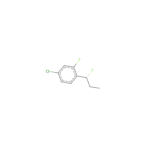 [CH2]C[C@@H](F)c1ccc(Cl)cc1F